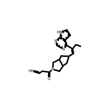 CC/C(=C/C1CC2CN(C(=O)CC=N)CC2C1)c1ncnc2[nH]ccc12